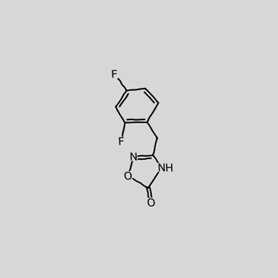 O=c1[nH]c(Cc2ccc(F)cc2F)no1